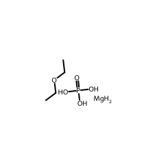 CCOCC.O=P(O)(O)O.[MgH2]